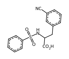 N#Cc1cccc(CC(NS(=O)(=O)c2ccccc2)C(=O)O)c1